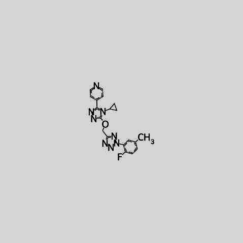 Cc1ccc(F)c(-n2nnc(COc3nnc(-c4ccncc4)n3C3CC3)n2)c1